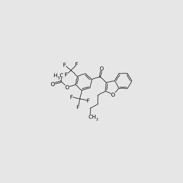 CCCCc1oc2ccccc2c1C(=O)c1cc(C(F)(F)F)c(OC(C)=O)c(C(F)(F)F)c1